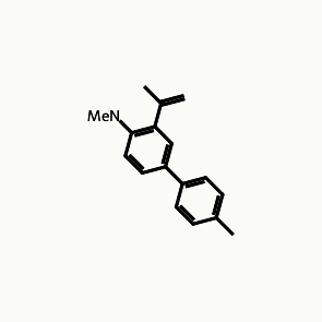 C=C(C)c1cc(-c2ccc(C)cc2)ccc1NC